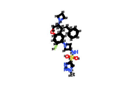 CCn1cc(S(=O)(=O)NC2CN(c3cc4c(cc3F)OC[C@@H](N3CCC3)[C@H]4Cc3ccccc3)C2)nn1